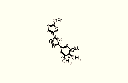 CCCc1ccc(-c2nc(-c3cc(C)c(C)c(CC)c3)no2)s1